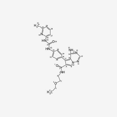 CCOCCNC(=O)c1cn2ncnc(N)c2c1-c1ccc(NC(=O)Nc2cccc(C)n2)cc1